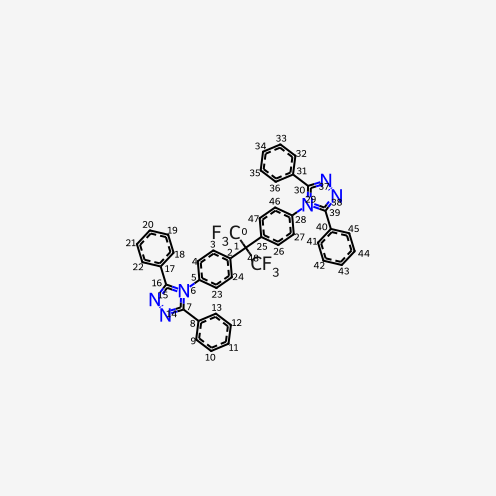 FC(F)(F)C(c1ccc(-n2c(-c3ccccc3)nnc2-c2ccccc2)cc1)(c1ccc(-n2c(-c3ccccc3)nnc2-c2ccccc2)cc1)C(F)(F)F